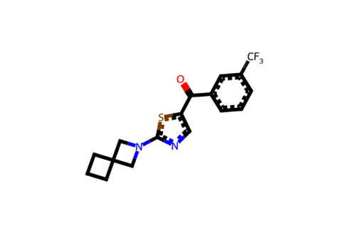 O=C(c1cccc(C(F)(F)F)c1)c1cnc(N2CC3(CCC3)C2)s1